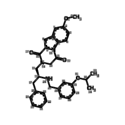 COc1ccc2c(c1)cc1n2C(=O)CN(C[C@H](Cc2ccccc2)NCc2cccc(OC(C)C)c2)C1=O